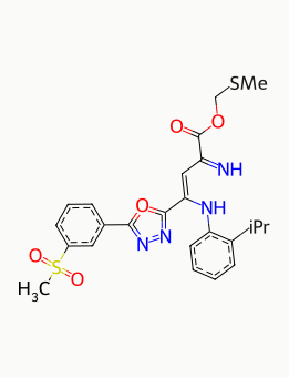 CSCOC(=O)C(=N)/C=C(\Nc1ccccc1C(C)C)c1nnc(-c2cccc(S(C)(=O)=O)c2)o1